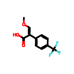 COC=C(C(=O)O)c1ccc(C(F)(F)F)cc1